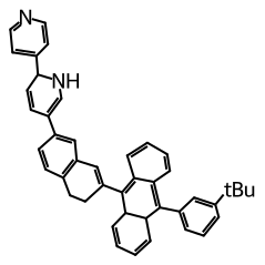 CC(C)(C)c1cccc(C2=c3ccccc3=C(C3=Cc4cc(C5=CNC(c6ccncc6)C=C5)ccc4CC3)C3C=CC=CC23)c1